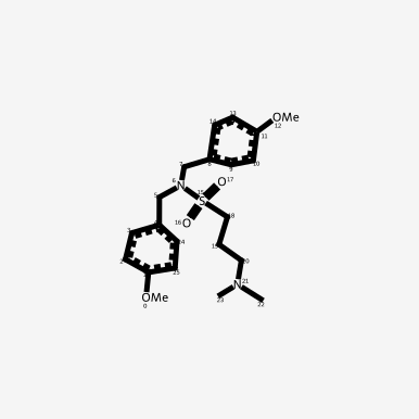 COc1ccc(CN(Cc2ccc(OC)cc2)S(=O)(=O)CCCN(C)C)cc1